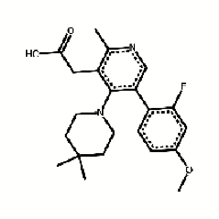 COc1ccc(-c2cnc(C)c(CC(=O)O)c2N2CCC(C)(C)CC2)c(F)c1